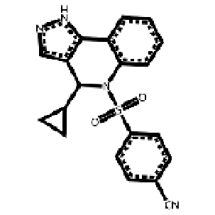 N#Cc1ccc(S(=O)(=O)N2c3ccccc3-c3[nH]ncc3C2C2CC2)cc1